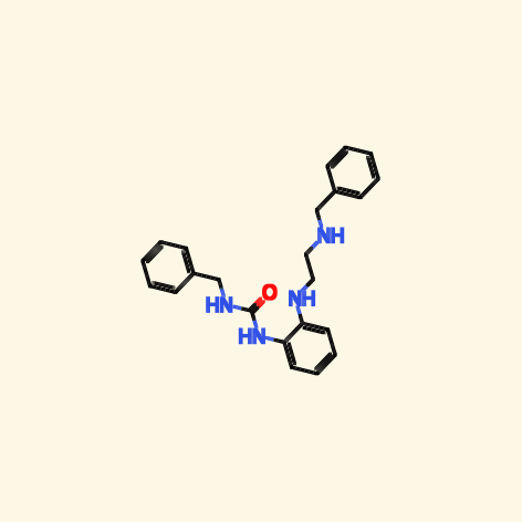 O=C(NCc1ccccc1)Nc1ccccc1NCCNCc1ccccc1